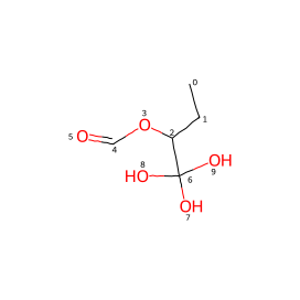 CCC(OC=O)C(O)(O)O